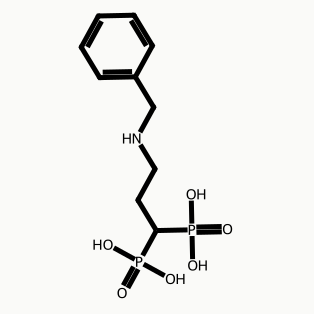 O=P(O)(O)C(CCNCc1ccccc1)P(=O)(O)O